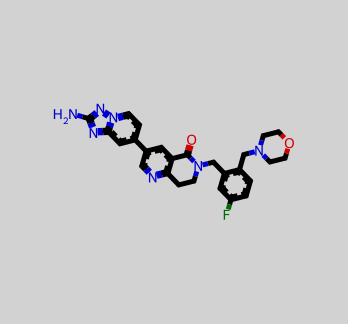 Nc1nc2cc(-c3cnc4c(c3)C(=O)N(Cc3cc(F)ccc3CN3CCOCC3)CC4)ccn2n1